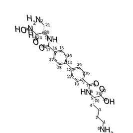 NCCCC[C@H](NC(=O)c1ccc(-c2ccc(C(=O)N[C@@H](CN)C(=O)NO)cc2)cc1)C(=O)O